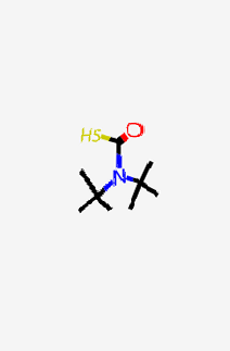 CC(C)(C)N(C(=O)S)C(C)(C)C